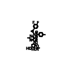 Cc1ccc(S(=O)(=O)N(c2nc(C)nc3c2nnn3[C@@H]2C[C@H](O)[C@H]3OC(C)(C)O[C@H]32)[C@@H]2C[C@H]2c2ccc(F)c(F)c2)cc1